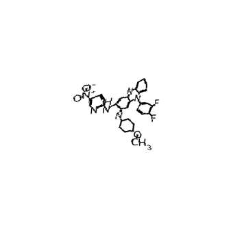 COC1CCC(/N=c2\cc3n(-c4ccc(F)c(F)c4)c4ccccc4nc-3cc2Nc2ccc([N+](=O)[O-])cn2)CC1